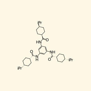 CC(C)[C@H]1CC[C@@H](C(=O)Nc2cc(NC(=O)[C@H]3CC[C@@H](C(C)C)CC3)cc(NC(=O)[C@H]3CC[C@@H](C(C)C)CC3)c2)CC1